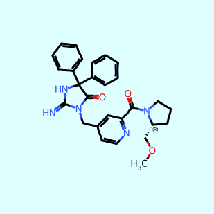 COC[C@H]1CCCN1C(=O)c1cc(CN2C(=N)NC(c3ccccc3)(c3ccccc3)C2=O)ccn1